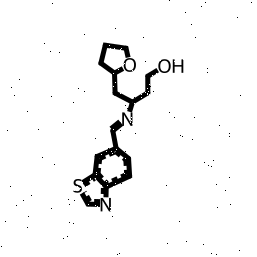 OCCC(CC1CCCO1)/N=C/c1ccc2ncsc2c1